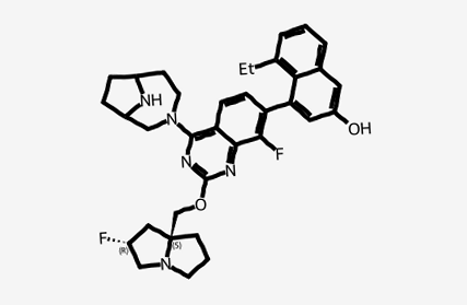 CCc1cccc2cc(O)cc(-c3ccc4c(N5CCC6CCC(C5)N6)nc(OC[C@@]56CCCN5C[C@H](F)C6)nc4c3F)c12